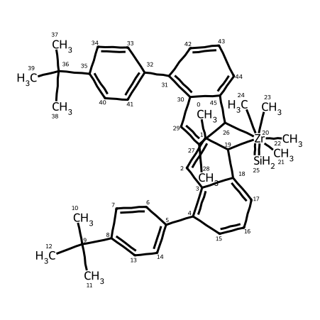 CC1=Cc2c(-c3ccc(C(C)(C)C)cc3)cccc2[CH]1[Zr]([CH3])([CH3])([CH3])([CH3])(=[SiH2])[CH]1C(C)=Cc2c(-c3ccc(C(C)(C)C)cc3)cccc21